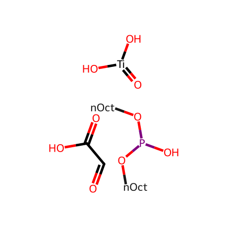 CCCCCCCCOP(O)OCCCCCCCC.O=CC(=O)O.[O]=[Ti]([OH])[OH]